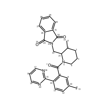 CC1CCCN(C(=O)c2cc(F)ccc2-c2ncccn2)C1CN1C(=O)c2ccccc2C1=O